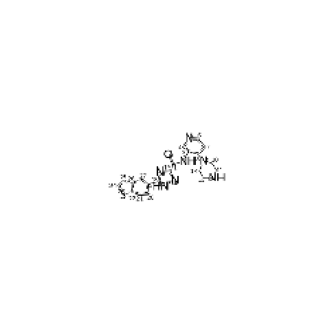 O=C(Nc1cnccc1N1CCNCC1)c1n[nH]c(-c2ccc3sccc3c2)n1